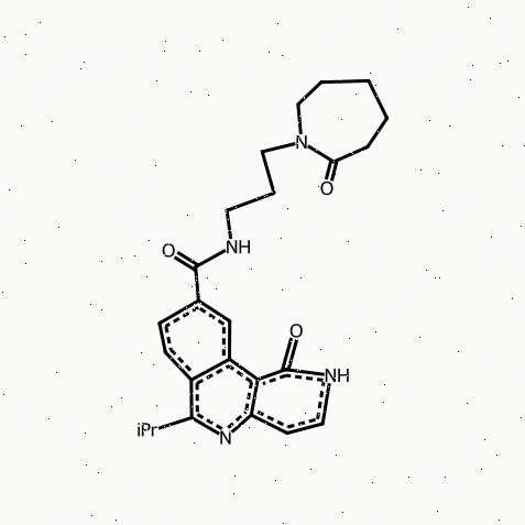 CC(C)c1nc2cc[nH]c(=O)c2c2cc(C(=O)NCCCN3CCCCCC3=O)ccc12